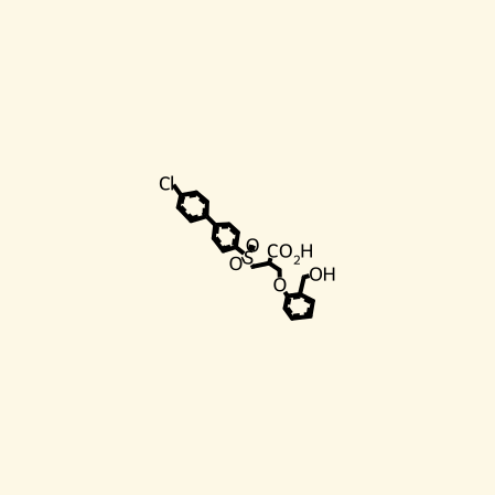 O=C(O)C(COc1ccccc1CO)CS(=O)(=O)c1ccc(-c2ccc(Cl)cc2)cc1